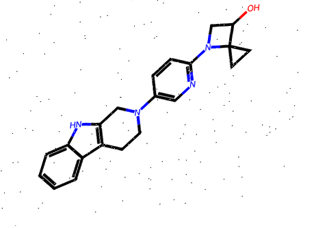 OC1CN(c2ccc(N3CCc4c([nH]c5ccccc45)C3)cn2)C12CC2